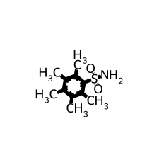 Cc1c(C)c(C)c(S(N)(=O)=O)c(C)c1C